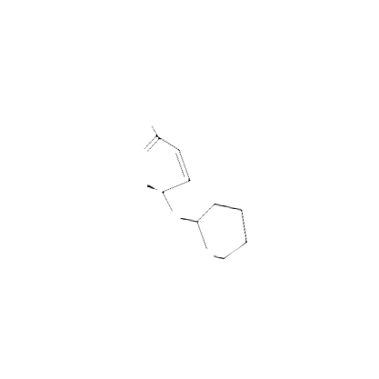 CC(=O)/C=C\[C@H](C)OC1CCCCO1